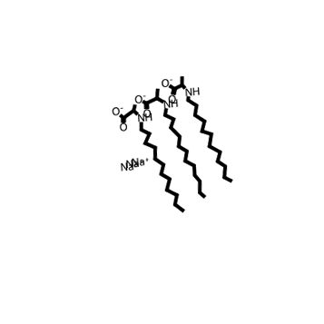 CCCCCCCCCCCCNC(C)C(=O)[O-].CCCCCCCCCCCCNC(C)C(=O)[O-].CCCCCCCCCCCCNC(C)C(=O)[O-].[Na+].[Na+].[Na+]